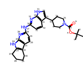 CC(C)(C)OC(=O)N1CCC(c2c[nH]c3nc(Nc4ccc5c6c([nH]c5n4)CCCC6)ccc23)CC1